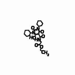 CCOC(=O)CNC(=O)c1c(O)n(C2CCCCC2)c(=O)n(C2CCCCC2)c1=O